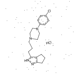 Cl.Clc1ccc(N2CCN(CCCc3[nH]nc4c3CCC4)CC2)cc1